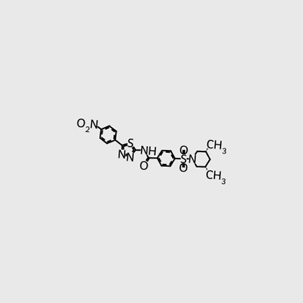 C[C@@H]1C[C@H](C)CN(S(=O)(=O)c2ccc(C(=O)Nc3nnc(-c4ccc([N+](=O)[O-])cc4)s3)cc2)C1